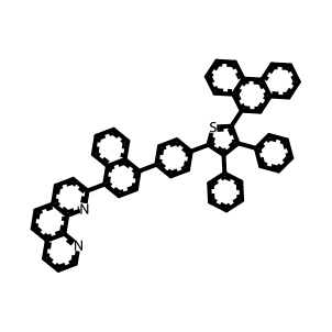 c1ccc(-c2c(-c3ccc(-c4ccc(-c5ccc6ccc7cccnc7c6n5)c5ccccc45)cc3)sc(-c3cc4ccccc4c4ccccc34)c2-c2ccccc2)cc1